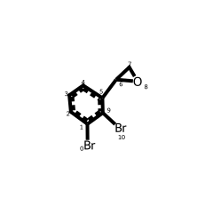 Brc1cccc(C2CO2)c1Br